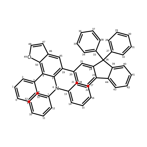 c1ccc(-c2c(N(c3ccccc3)c3ccccc3)c(-c3ccc4c(c3)C(c3ccccc3)(c3ccccc3)c3ccccc3-4)cc3ccoc23)cc1